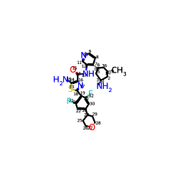 C[C@@H]1C[C@H](N)C[C@H](c2ccncc2NC(=O)c2nc(-c3c(F)cc(C4CCOCC4)cc3F)sc2N)C1